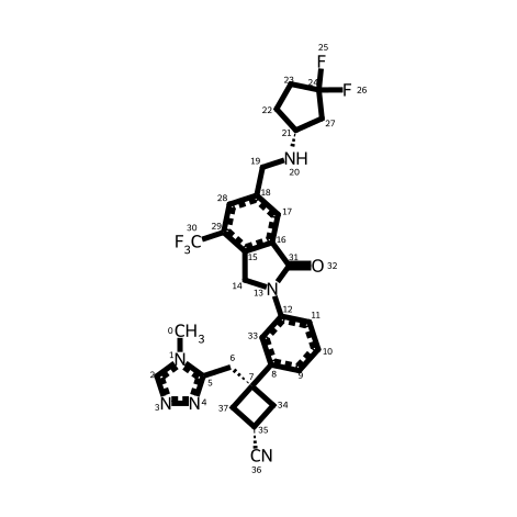 Cn1cnnc1C[C@]1(c2cccc(N3Cc4c(cc(CN[C@@H]5CCC(F)(F)C5)cc4C(F)(F)F)C3=O)c2)C[C@H](C#N)C1